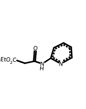 CCOC(=O)CC(=O)Nc1ccccn1